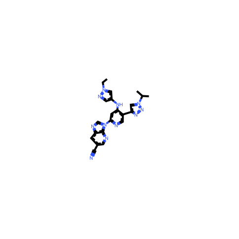 CCn1cc(Nc2cc(-n3cnc4cc(C#N)cnc43)ncc2-c2cn(C(C)C)nn2)cn1